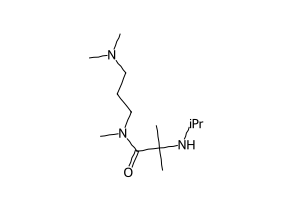 CC(C)NC(C)(C)C(=O)N(C)CCCN(C)C